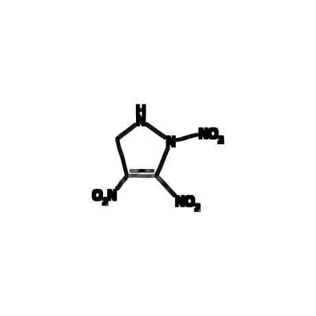 O=[N+]([O-])C1=C([N+](=O)[O-])N([N+](=O)[O-])NC1